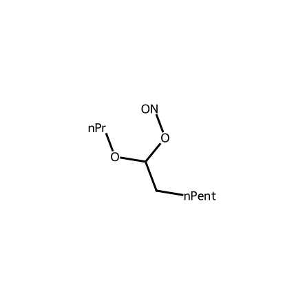 CCCCCCC(OCCC)ON=O